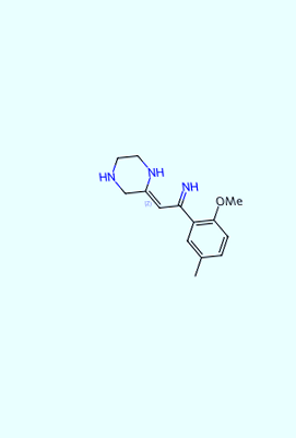 COc1ccc(C)cc1C(=N)/C=C1/CNCCN1